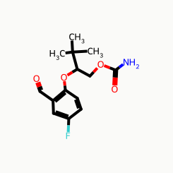 CC(C)(C)C(COC(N)=O)Oc1ccc(F)cc1C=O